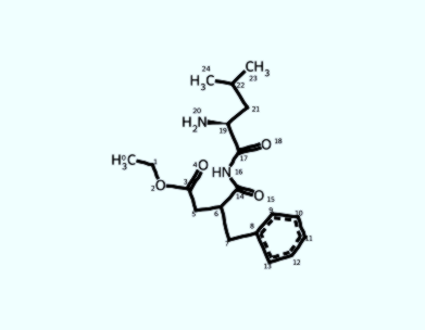 CCOC(=O)CC(Cc1ccccc1)C(=O)NC(=O)[C@@H](N)CC(C)C